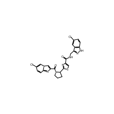 O=C(NCc1n[nH]c2ccc(Cl)cc12)c1csc(C2CCCN2C(=O)c2cn3cc(Cl)ccc3n2)n1